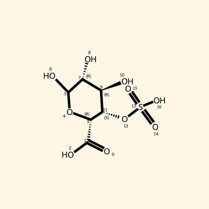 O=C(O)[C@@H]1OC(O)[C@H](O)[C@@H](O)[C@@H]1OS(=O)(=O)O